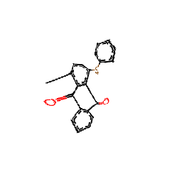 Cc1ccc(Sc2ccccc2)c2c1C(=O)c1ccccc1C2=O